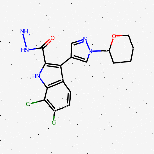 NNC(=O)c1[nH]c2c(Cl)c(Cl)ccc2c1-c1cnn(C2CCCCO2)c1